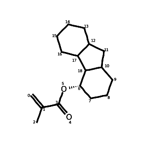 C=C(C)C(=O)O[C@H]1CCCC2CC3CCCCC3C21